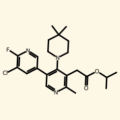 Cc1ncc(-c2cnc(F)c(Cl)c2)c(N2CCC(C)(C)CC2)c1CC(=O)OC(C)C